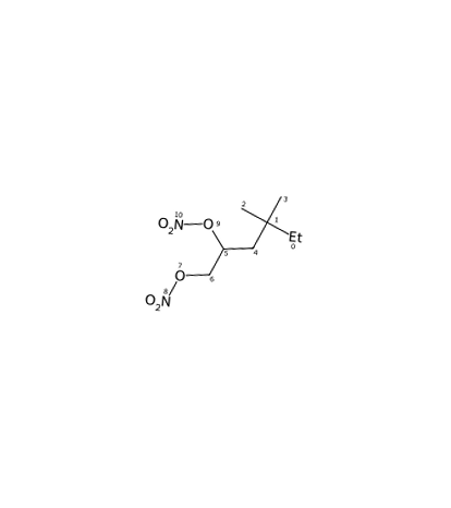 [CH2]CC(C)(C)CC(CO[N+](=O)[O-])O[N+](=O)[O-]